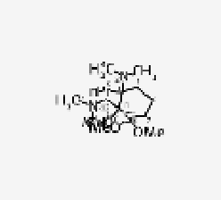 CCCC1(N(C)C)CCC[Si](OC)(OC)C1(CN(C)C)OC